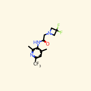 Cc1cc(C(F)(F)F)nc(C)c1NC(=O)CN1CC(F)(F)C1